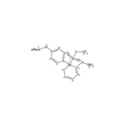 CCCCCOc1ccc([N+]2(S(=O)(=O)CC(F)(F)F)CC=CC=C2CN)cc1